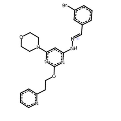 Brc1cccc(/C=N/Nc2cc(N3CCOCC3)nc(OCCc3ccccn3)n2)c1